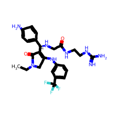 CCN1CC(Nc2cccc(C(F)(F)F)c2)=C([C@H](NCC(=O)NCCNC(=N)N)c2ccc(N)cc2)C1=O